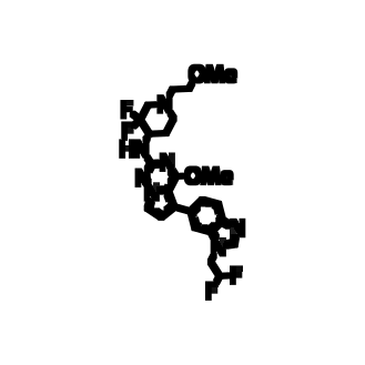 COCCN1CC[C@@H](Nc2nc(OC)c3c(-c4ccc5ncn(CC(F)F)c5c4)ccn3n2)C(F)(F)C1